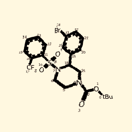 CC(C)(C)OC(=O)N1CCN(S(=O)(=O)c2ccccc2C(F)(F)F)C(c2cccc(Br)c2)C1